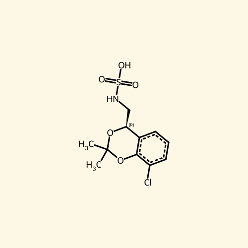 CC1(C)Oc2c(Cl)cccc2[C@H](CNS(=O)(=O)O)O1